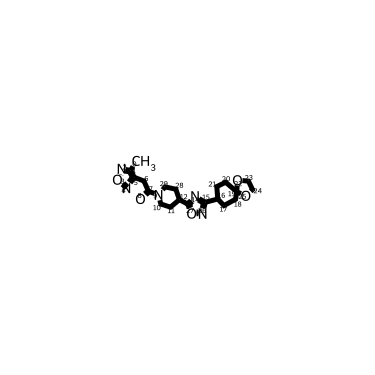 Cc1nonc1CC(=O)N1CCC(c2nc(C3CCC4(CC3)OCCO4)no2)CC1